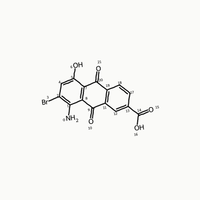 Nc1c(Br)cc(O)c2c1C(=O)c1cc(C(=O)O)ccc1C2=O